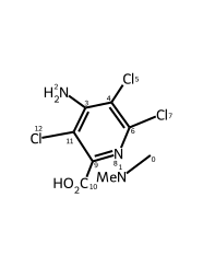 CNC.Nc1c(Cl)c(Cl)nc(C(=O)O)c1Cl